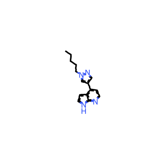 CCCCCn1cc(-c2ccnc3[nH]ccc23)cn1